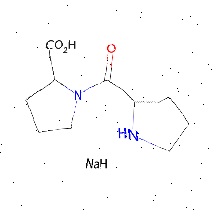 O=C(O)C1CCCN1C(=O)C1CCCN1.[NaH]